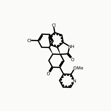 COc1ncccc1C1=C[C@@]2(C(=O)Nc3cc(Cl)ccc32)[C@H](C2C=CC=C(Cl)C2)CC1=O